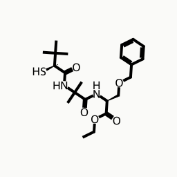 CCOC(=O)[C@H](COCc1ccccc1)NC(=O)C(C)(C)NC(=O)[C@@H](S)C(C)(C)C